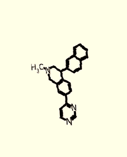 CN1Cc2cc(-c3ccncn3)ccc2C(c2ccc3ccccc3c2)C1